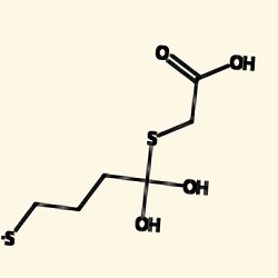 O=C(O)CSC(O)(O)CCC[S]